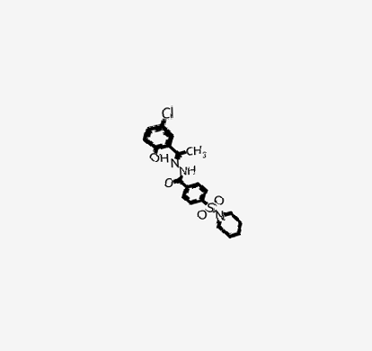 C/C(=N\NC(=O)c1ccc(S(=O)(=O)N2CCCCC2)cc1)c1cc(Cl)ccc1O